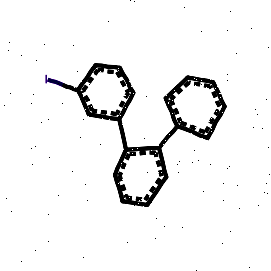 Ic1cccc(-c2ccccc2-c2ccccc2)c1